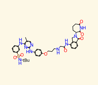 Cc1cnc(Nc2ccc(OCCCNCC(=O)Nc3cccc4c3CN([C@H]3CCCC(=O)NC3=O)C4=O)cc2)nc1Nc1cccc(S(=O)(=O)NC(C)(C)C)c1